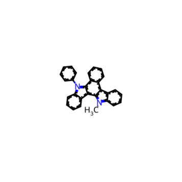 Cn1c2ccccc2c2c3ccccc3c3c(c4ccccc4n3-c3ccccc3)c21